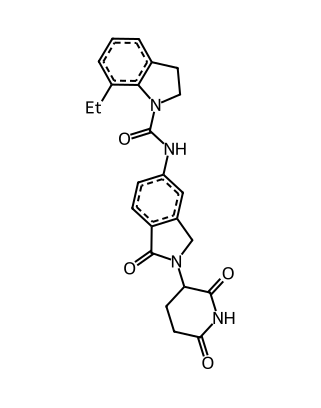 CCc1cccc2c1N(C(=O)Nc1ccc3c(c1)CN(C1CCC(=O)NC1=O)C3=O)CC2